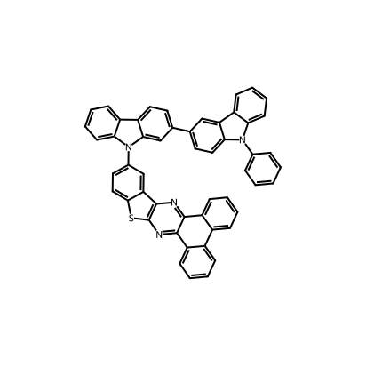 c1ccc(-n2c3ccccc3c3cc(-c4ccc5c6ccccc6n(-c6ccc7sc8nc9c%10ccccc%10c%10ccccc%10c9nc8c7c6)c5c4)ccc32)cc1